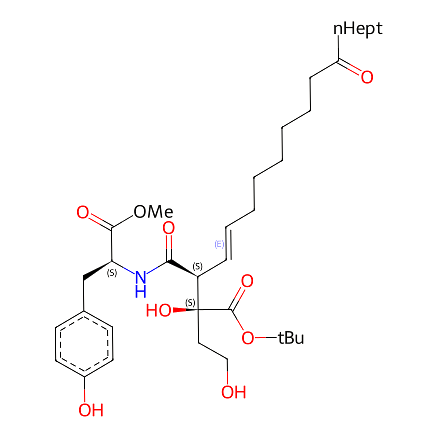 CCCCCCCC(=O)CCCCCC/C=C/[C@H](C(=O)N[C@@H](Cc1ccc(O)cc1)C(=O)OC)[C@@](O)(CCO)C(=O)OC(C)(C)C